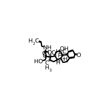 C=CCNC(=O)O[C@]1(C(=O)CO)[C@@H](C)C[C@H]2[C@@H]3CCC4=CC(=O)C=C[C@]4(C)[C@@]3(F)[C@@H](O)C[C@@]21C